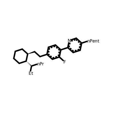 CCCCCc1ccc(-c2ccc(CC[C@@H]3CCCC[C@H]3C(CC)CCC)cc2F)nc1